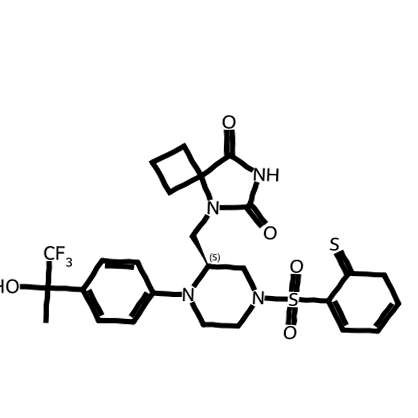 CC(O)(c1ccc(N2CCN(S(=O)(=O)C3=CC=CCC3=S)C[C@@H]2CN2C(=O)NC(=O)C23CCC3)cc1)C(F)(F)F